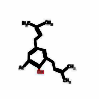 CC(=O)c1cc(CC=C(C)C)cc(CC=C(C)C)c1O